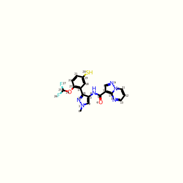 Cn1cc(NC(=O)c2cnn3cccnc23)c(-c2cc(S)ccc2OC(F)F)n1